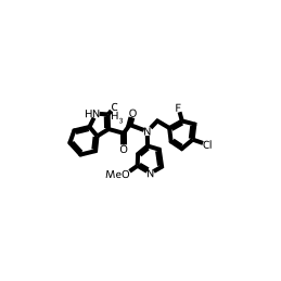 COc1cc(N(Cc2ccc(Cl)cc2F)C(=O)C(=O)c2c(C)[nH]c3ccccc23)ccn1